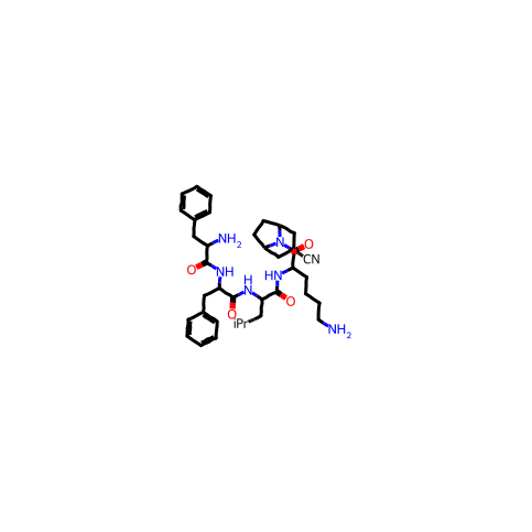 CC(C)CC(NC(=O)C(Cc1ccccc1)NC(=O)C(N)Cc1ccccc1)C(=O)NC(CCCCN)C(=O)N1C2CCC1CC(C#N)C2